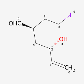 C=C[C@@H](O)C[C@@H](C=O)CCI